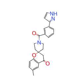 Cc1ccc2c(c1)C(=O)CC1(CCN(C(=O)c3cccc(-c4cc[nH]n4)c3)CC1)O2